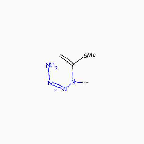 C=C(SC)N(C)/N=N\N